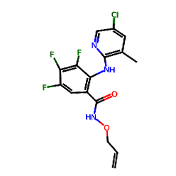 C=CCONC(=O)c1cc(F)c(F)c(F)c1Nc1ncc(Cl)cc1C